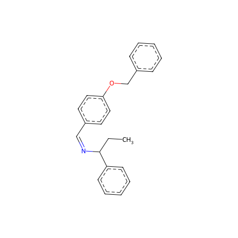 CCC(/N=C\c1ccc(OCc2ccccc2)cc1)c1ccccc1